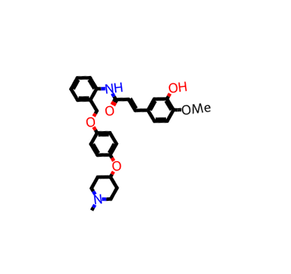 COc1ccc(C=CC(=O)Nc2ccccc2COc2ccc(OC3CCN(C)CC3)cc2)cc1O